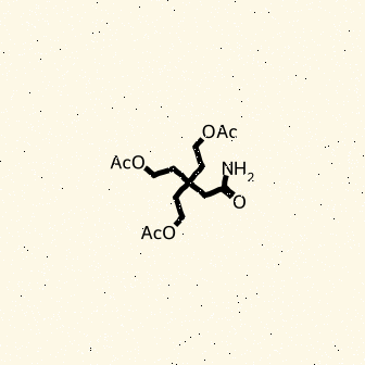 CC(=O)OCCC(CCOC(C)=O)(CCOC(C)=O)CC(N)=O